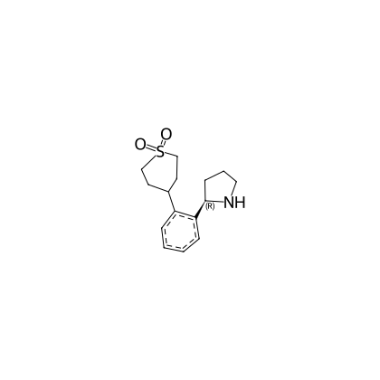 O=S1(=O)CCC(c2ccccc2[C@H]2CCCN2)CC1